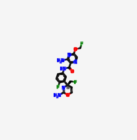 NC1=N[C@](CF)(c2cc(NC(=O)c3ncc(OCF)nc3N)ccc2F)C=CO1